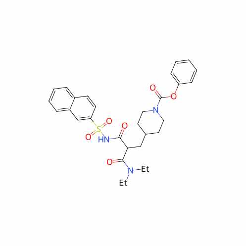 CCN(CC)C(=O)C(CC1CCN(C(=O)Oc2ccccc2)CC1)C(=O)NS(=O)(=O)c1ccc2ccccc2c1